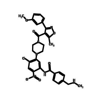 CNCc1ccc(C(=O)Nc2cc(N3CCN(C(=O)c4c(-c5cccc(OC)c5)noc4C)CC3)c(Cl)cc2[N+](=O)[O-])cc1